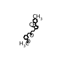 CCC1C(CCC(=O)Cc2cccc(OC)c2)=CC=C1c1ccc(C)cc1